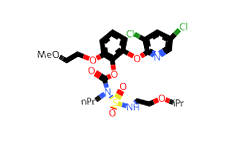 CCCN(C(=O)Oc1c(OCCOC)cccc1Oc1ncc(Cl)cc1Cl)S(=O)(=O)NCCOC(C)C